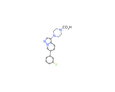 O=C(O)N1CCN(c2cnn3cc(-c4cccc(F)c4)ccc23)CC1